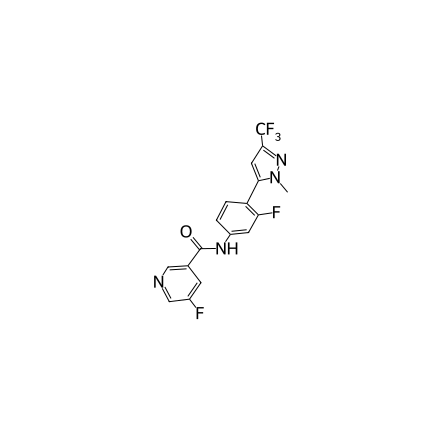 Cn1nc(C(F)(F)F)cc1-c1ccc(NC(=O)c2cncc(F)c2)cc1F